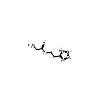 NCC(=O)SCCc1nnn[nH]1